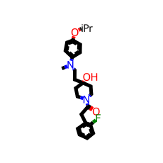 CC(C)Oc1ccc(N(C)CCC2(O)CCN(C(=O)Cc3ccccc3F)CC2)cc1